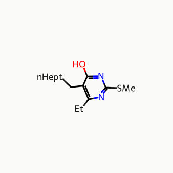 CCCCCCCCc1c(O)nc(SC)nc1CC